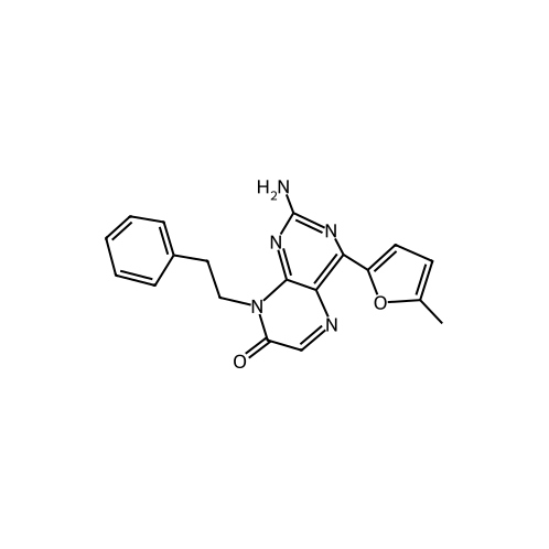 Cc1ccc(-c2nc(N)nc3c2ncc(=O)n3CCc2ccccc2)o1